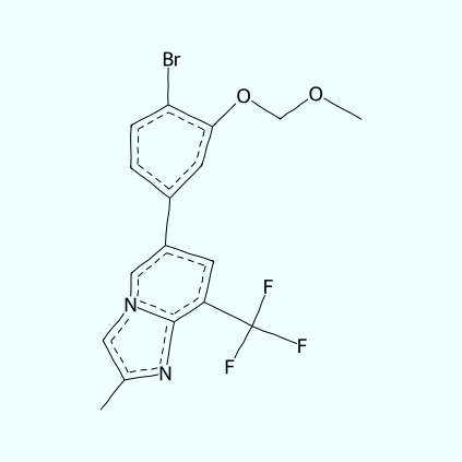 COCOc1cc(-c2cc(C(F)(F)F)c3nc(C)cn3c2)ccc1Br